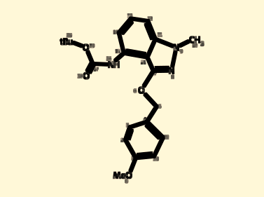 COc1ccc(COc2nn(C)c3cccc(NC(=O)OC(C)(C)C)c23)cc1